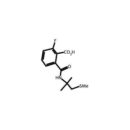 CSCC(C)(C)NC(=O)c1cccc(F)c1C(=O)O